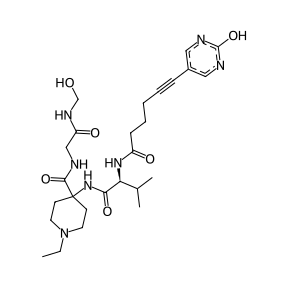 CCN1CCC(NC(=O)[C@@H](NC(=O)CCCC#Cc2cnc(O)nc2)C(C)C)(C(=O)NCC(=O)NCO)CC1